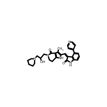 Cc1c(/C=C2\C(=O)Nc3cccc(-c4ccncc4)c32)[nH]c2c1C(=O)N(CC(O)CN1CCCCC1)CC2